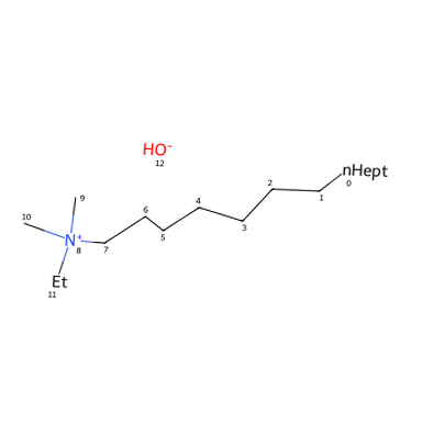 CCCCCCCCCCCCCC[N+](C)(C)CC.[OH-]